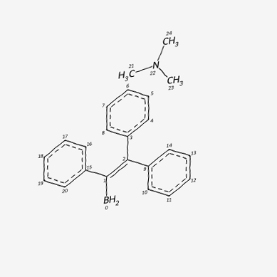 BC(=C(c1ccccc1)c1ccccc1)c1ccccc1.CN(C)C